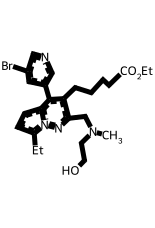 CCOC(=O)CCCCc1c(CN(C)CCO)nn2c(CC)ccc2c1-c1cncc(Br)c1